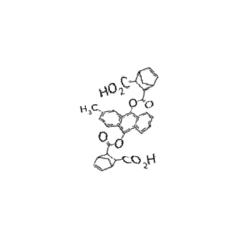 Cc1ccc2c(OC(=O)C3C4C=CC(C4)C3C(=O)O)c3ccccc3c(OC(=O)C3C4C=CC(C4)C3C(=O)O)c2c1